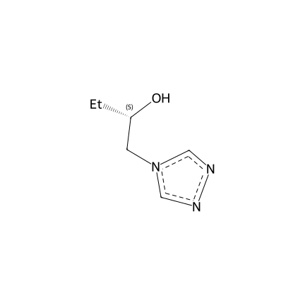 CC[C@H](O)Cn1cnnc1